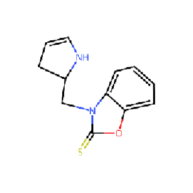 S=c1oc2ccccc2n1CC1CC=CN1